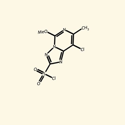 COc1nc(C)c(Cl)c2nc(S(=O)(=O)Cl)nn12